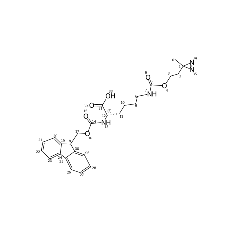 CC1(CCOC(=O)NCCCC[C@H](NC(=O)OCC2c3ccccc3-c3ccccc32)C(=O)O)N=N1